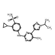 Cc1cnc(Nc2ccc(S(N)(=O)=O)c(C3CC3)c2)nc1-c1cnn(C(C)C)c1